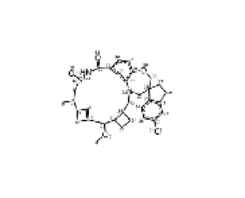 COC1C2=CC(C2)C(C)C[S+]([O-])NC(=O)c2ccc3c(c2)N(CC2CCC21)CC1(CCc2cc(Cl)ccc21)CO3